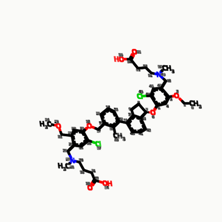 CCOc1cc(O[C@H]2CCc3c(-c4cccc(COc5cc(COC)c(CN(C)CCCC(=O)O)cc5Cl)c4C)cccc32)c(Cl)cc1CN(C)CCCC(=O)O